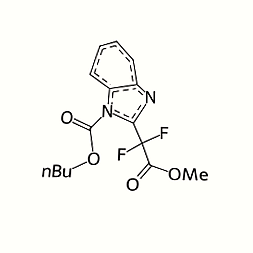 CCCCOC(=O)n1c(C(F)(F)C(=O)OC)nc2ccccc21